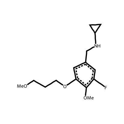 COCCCOc1cc(CNC2CC2)cc(F)c1OC